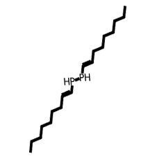 CCCCCCCC=CPPC=CCCCCCCC